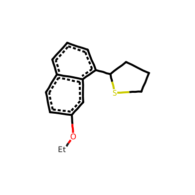 CCOc1ccc2cccc(C3CCCS3)c2c1